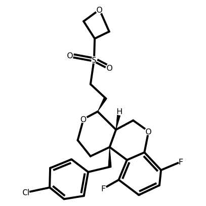 O=S(=O)(CC[C@@H]1OCC[C@@]2(Cc3ccc(Cl)cc3)c3c(F)ccc(F)c3OC[C@@H]12)C1COC1